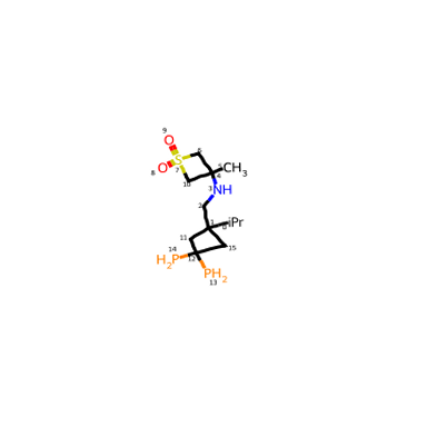 CC(C)C1(CNC2(C)CS(=O)(=O)C2)CC(P)(P)C1